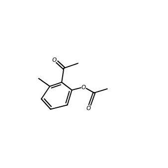 CC(=O)Oc1cccc(C)c1C(C)=O